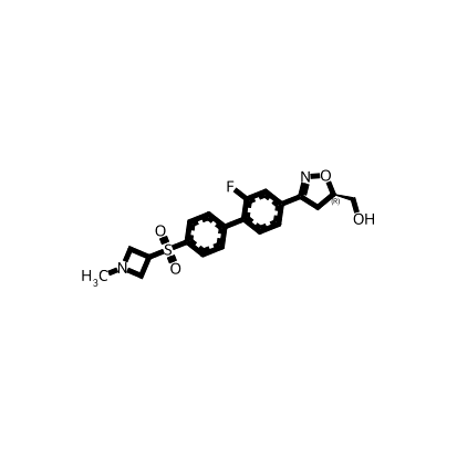 CN1CC(S(=O)(=O)c2ccc(-c3ccc(C4=NO[C@@H](CO)C4)cc3F)cc2)C1